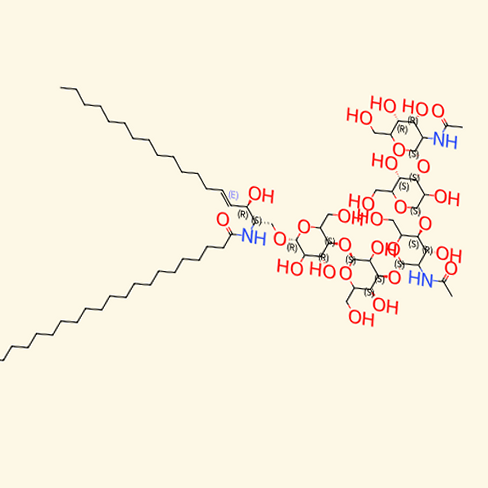 CCCCCCCCCCCCC/C=C/[C@@H](O)[C@H](CO[C@@H]1OC(CO)[C@@H](O[C@@H]2OC(CO)[C@H](O)[C@H](O[C@@H]3OC(CO)[C@@H](O[C@@H]4OC(CO)[C@H](O)[C@H](O[C@@H]5OC(CO)[C@H](O)[C@H](O)C5NC(C)=O)C4O)[C@H](O)C3NC(C)=O)C2O)[C@H](O)C1O)NC(=O)CCCCCCCCCCCCCCCCCCCCCCC